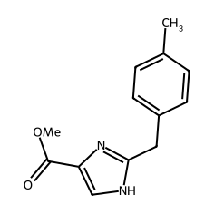 COC(=O)c1c[nH]c(Cc2ccc(C)cc2)n1